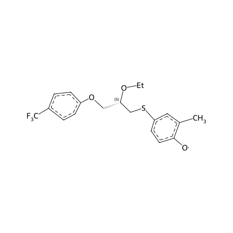 CCO[C@@H](COc1ccc(C(F)(F)F)cc1)CSc1ccc([O])c(C)c1